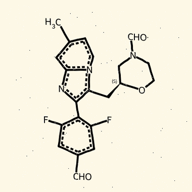 Cc1ccn2c(C[C@H]3CN([C]=O)CCO3)c(-c3c(F)cc(C=O)cc3F)nc2c1